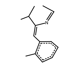 C/C=N\C(=C/c1ccccc1C)C(C)C